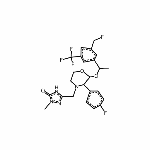 CC(OC1OCCN(Cc2nn(C)c(=O)[nH]2)C1c1ccc(F)cc1)c1cc(CF)cc(C(F)(F)F)c1